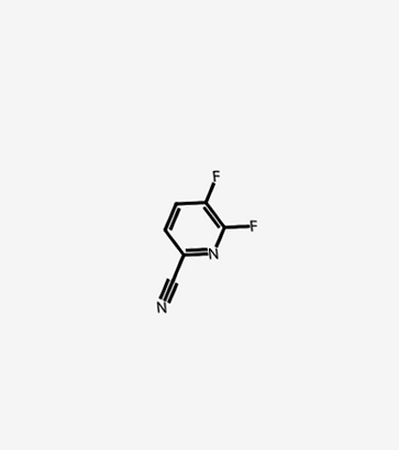 N#Cc1ccc(F)c(F)n1